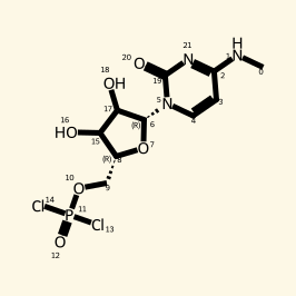 CNc1ccn([C@@H]2O[C@H](COP(=O)(Cl)Cl)C(O)C2O)c(=O)n1